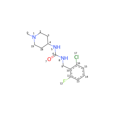 CN1CCC(NC(=O)NCc2c(F)cccc2Cl)CC1